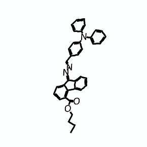 CCCCOC(=O)c1cccc2c1-c1ccccc1C2=NN=Cc1ccc(N(c2ccccc2)c2ccccc2)cc1